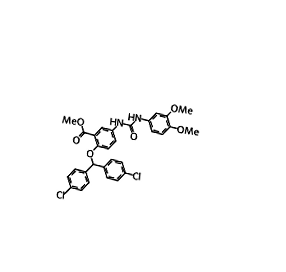 COC(=O)c1cc(NC(=O)Nc2ccc(OC)c(OC)c2)ccc1OC(c1ccc(Cl)cc1)c1ccc(Cl)cc1